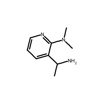 CC(N)c1cccnc1N(C)C